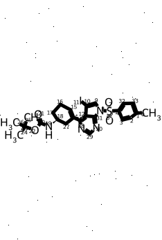 Cc1ccc(S(=O)(=O)n2cc(I)c3c(C4=CCC[C@@H](NC(=O)OC(C)(C)C)C4)ncnc32)cc1